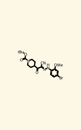 COc1cc(Br)ccc1N/N=C(\C#N)C(=O)C1CCN(C(=O)OC(C)(C)C)CC1